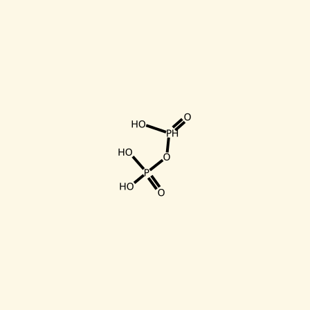 O=[PH](O)OP(=O)(O)O